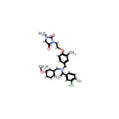 Cc1cc(CN(CC2CCCCC2)C(C)c2ccc(Cl)c(Cl)c2)ccc1OCCN1C(=O)CN(C)C1=O.O=C(O)O